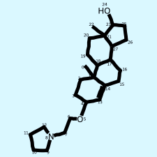 CC12CCC(OCCN3CCCC3)C=C1CCC1C2CCC2(C)C(O)CCC12